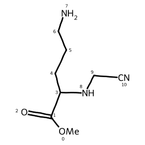 COC(=O)C(CCCN)NCC#N